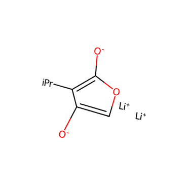 CC(C)c1c([O-])coc1[O-].[Li+].[Li+]